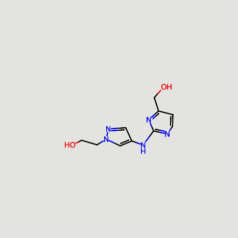 OCCn1cc(Nc2nccc(CO)n2)cn1